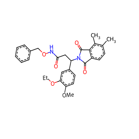 CCOc1cc(C(CC(=O)NOCc2ccccc2)N2C(=O)c3ccc(C)c(C)c3C2=O)ccc1OC